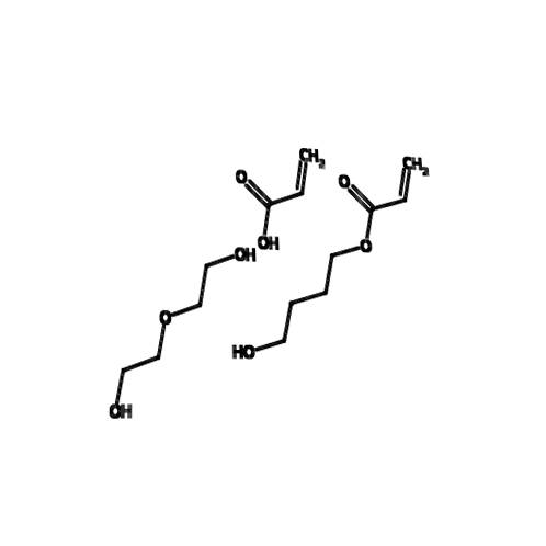 C=CC(=O)O.C=CC(=O)OCCCCO.OCCOCCO